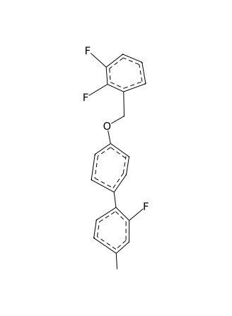 Cc1ccc(-c2ccc(OCc3cccc(F)c3F)cc2)c(F)c1